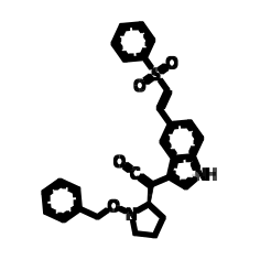 O=C=C(c1c[nH]c2ccc(C=CS(=O)(=O)c3ccccc3)cc12)[C@H]1CCCN1OCc1ccccc1